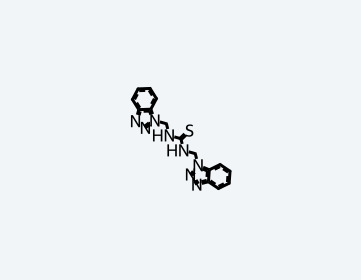 S=C(NCn1nnc2ccccc21)NCn1nnc2ccccc21